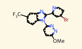 COc1ccc(-n2c(-c3cc(Br)ccn3)nc3cc(C(F)(F)F)ccc32)nn1